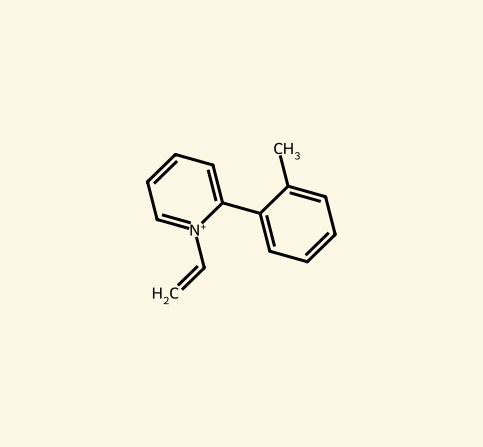 C=C[n+]1ccccc1-c1ccccc1C